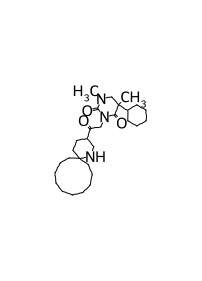 CN1CC(C)(C2CCCCC2)C(=O)N(CC(=O)C2CCC3(CCCCCCCCCC3)NC2)C1=O